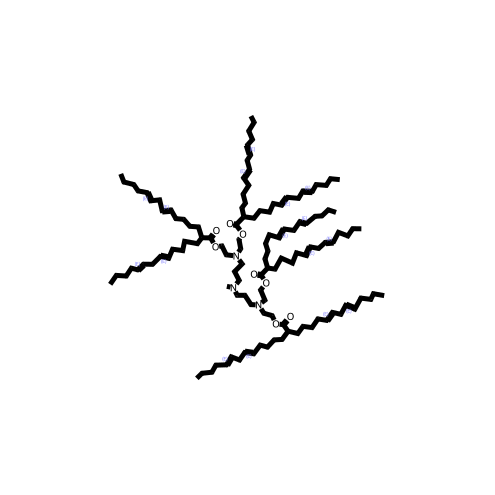 CCCC/C=C/C/C=C/CCCCC(CCCC/C=C/C/C=C/CCCC)C(=O)OCCN(CCCN(C)CCCN(CCOC(=O)C(CCCC/C=C/C/C=C/CCCC)CCCC/C=C/C/C=C/CCCC)CCOC(=O)C(CCCC/C=C/C/C=C/CCCC)CCCC/C=C/C/C=C/CCCC)CCOC(=O)C(CCCC/C=C/C/C=C/CCCC)CCCC/C=C/C/C=C/CCCC